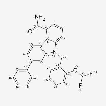 NC(=O)c1cccc2c1c1[c]cc(-c3ccccc3)cc1n2Cc1ccccc1OC(F)F